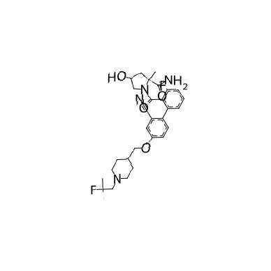 CC(C)(F)CN1CCC(COc2ccc(-c3cccc(F)c3C(=O)N3CC(O)CC3(C)C(N)=O)c(C#N)c2)CC1